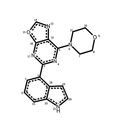 c1cc(-c2nc(N3CCOCC3)c3ncoc3n2)c2cc[nH]c2c1